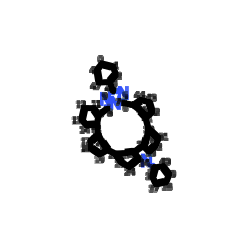 c1ccc(-c2nc3nc(n2)c2ccccc2c2cccc(c2)c2ccc4c(c2)c2cc(ccc2n4-c2ccccc2)c2cccc3c2)cc1